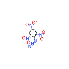 [N-]=[N+]=Nc1c([N+](=O)[O-])cc([N+](=O)[O-])cc1[N+](=O)[O-]